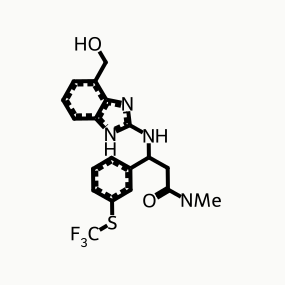 CNC(=O)CC(Nc1nc2c(CO)cccc2[nH]1)c1cccc(SC(F)(F)F)c1